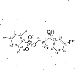 Cc1cc(C)c(S(=O)(=O)OCC2Sc3ccc(F)cc3C2O)c(C)c1